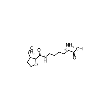 CCC1CCOC1C(=O)NCCCC[C@H](N)C(=O)O